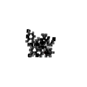 Cc1nc(F)ccc1C(Nc1cc(Cl)c2ncc(C#N)c(N[C@H](CCC#N)c3ccccc3)c2c1)C1=CN(C2(C(F)(F)F)CC2)NN1